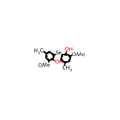 COc1cc(C)cc([Se]c2cc(C)cc(OC)c2O)c1O